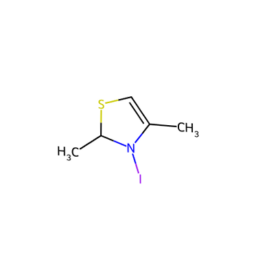 CC1=CSC(C)N1I